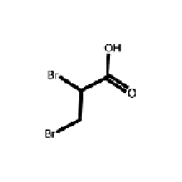 O=C(O)C(Br)CBr